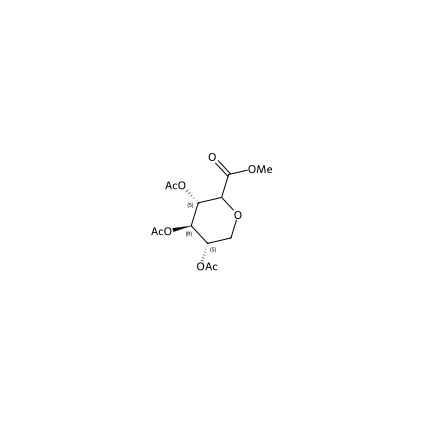 COC(=O)C1OC[C@H](OC(C)=O)[C@@H](OC(C)=O)[C@@H]1OC(C)=O